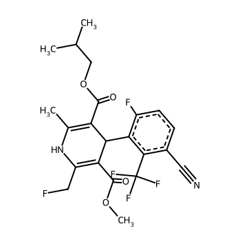 COC(=O)C1=C(CF)NC(C)=C(C(=O)OCC(C)C)C1c1c(F)ccc(C#N)c1C(F)(F)F